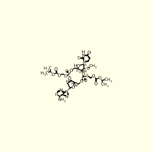 CO[C@@H]1[C@@H]2OP(=O)(SCOC(=O)OC(C)C)OC[C@H]3O[C@@H](n4cnc5c(N)ncnc54)C[C@@H]3OP(=O)(OCOC(=O)OC(C)C)OC[C@H]2O[C@H]1n1ccc(=O)[nH]c1=O